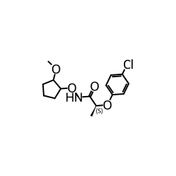 COC1CCCC1ONC(=O)[C@H](C)Oc1ccc(Cl)cc1